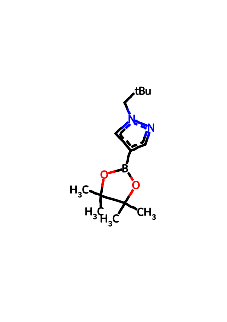 CC(C)(C)Cn1cc(B2OC(C)(C)C(C)(C)O2)cn1